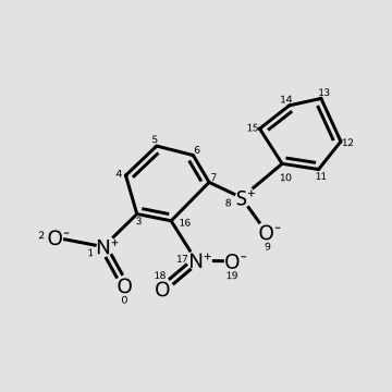 O=[N+]([O-])c1cccc([S+]([O-])c2ccccc2)c1[N+](=O)[O-]